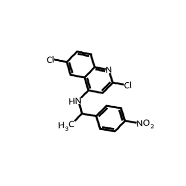 CC(Nc1cc(Cl)nc2ccc(Cl)cc12)c1ccc([N+](=O)[O-])cc1